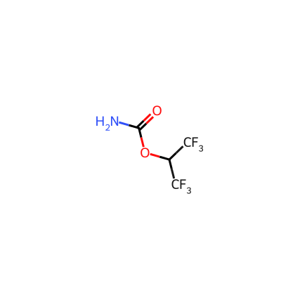 NC(=O)OC(C(F)(F)F)C(F)(F)F